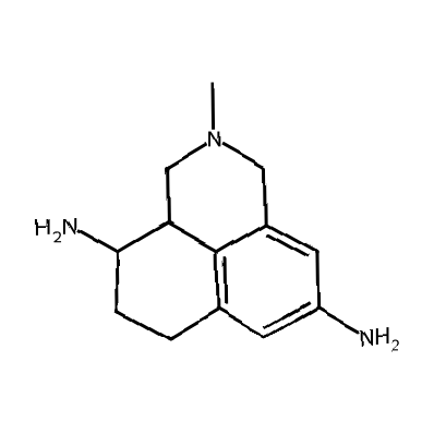 CN1Cc2cc(N)cc3c2C(C1)C(N)CC3